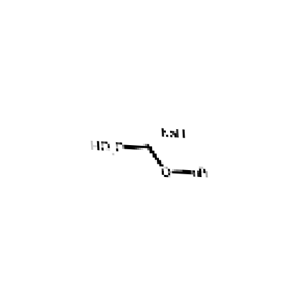 CCCOCC(=O)O.[NaH]